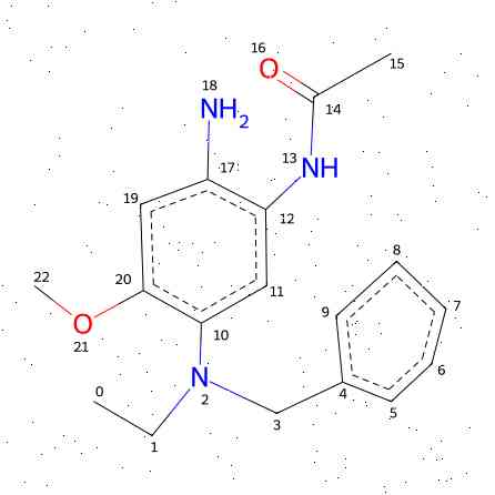 CCN(Cc1ccccc1)c1cc(NC(C)=O)c(N)cc1OC